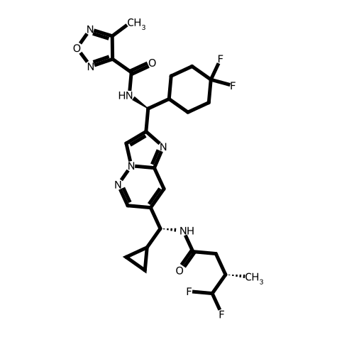 Cc1nonc1C(=O)N[C@H](c1cn2ncc([C@H](NC(=O)C[C@H](C)C(F)F)C3CC3)cc2n1)C1CCC(F)(F)CC1